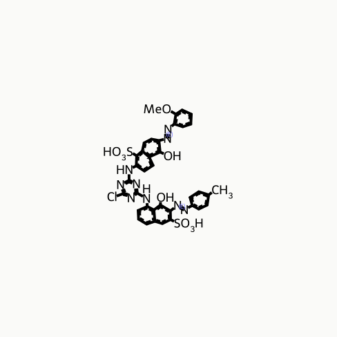 COc1ccccc1/N=N/c1ccc2c(S(=O)(=O)O)c(Nc3nc(Cl)nc(Nc4cccc5cc(S(=O)(=O)O)c(/N=N/c6ccc(C)cc6)c(O)c45)n3)ccc2c1O